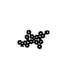 CC1(C)c2ccccc2-c2cc(N(c3ccccc3)c3cc4c(cc3-c3ccccc3)-c3cc(-c5ccccc5)ccc3C4(c3ccc(-c4ccccc4)cc3)c3ccc(-c4ccccc4)c(N(c4ccccc4)c4ccc(C5CC6CCC5C6)cc4)c3)ccc21